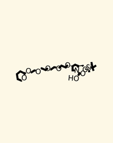 CC(C)(C)[Si](C)(C)OC[C@@H]1C[C@@H](OCCOCCOCCOCCOC2CCCCO2)CN1C(=O)O